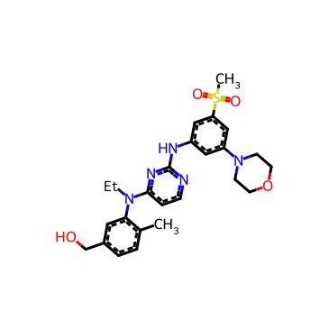 CCN(c1ccnc(Nc2cc(N3CCOCC3)cc(S(C)(=O)=O)c2)n1)c1cc(CO)ccc1C